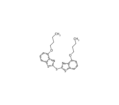 CCCCOc1cccc2sc(Sc3nc4c(OCCCC)cccc4s3)nc12